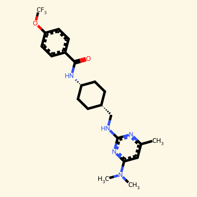 Cc1cc(N(C)C)nc(NC[C@H]2CC[C@@H](NC(=O)c3ccc(OC(F)(F)F)cc3)CC2)n1